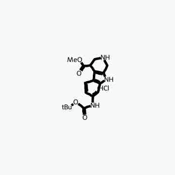 COC(=O)C1CNCc2[nH]c3cc(NC(=O)OC(C)(C)C)ccc3c21.Cl